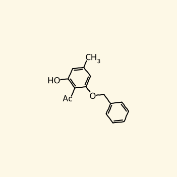 CC(=O)c1c(O)cc(C)cc1OCc1ccccc1